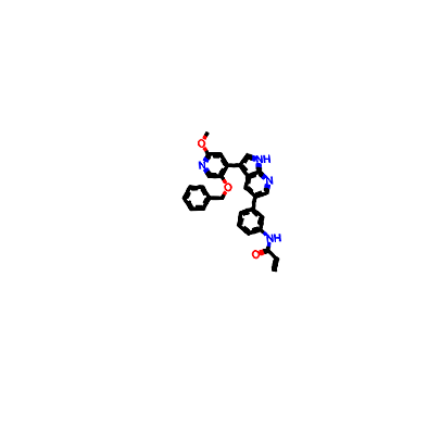 C=CC(=O)Nc1cccc(-c2cnc3[nH]cc(-c4cc(OC)ncc4OCc4ccccc4)c3c2)c1